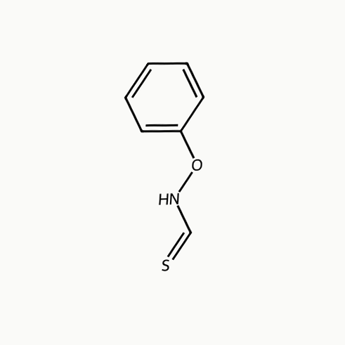 S=CNOc1ccccc1